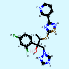 CC(Sc1nc(-c2cccnc2)ns1)C(O)(Cn1cncn1)c1ccc(F)cc1F